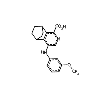 O=C(O)c1ncc(Nc2cccc(OC(F)(F)F)c2)c2c1C1CCC2CC1